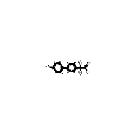 [2H]C([2H])(C(=O)Cl)c1ccc(-c2ccc(F)cc2)cc1